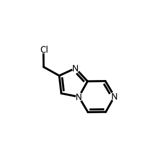 ClCc1cn2ccncc2n1